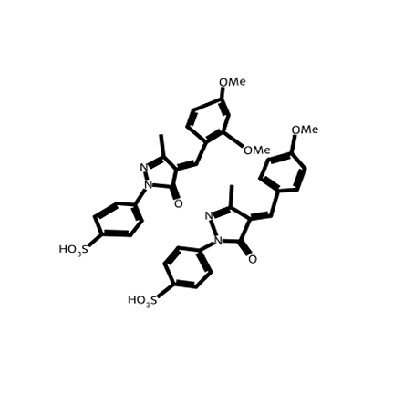 COc1ccc(C=C2C(=O)N(c3ccc(S(=O)(=O)O)cc3)N=C2C)c(OC)c1.COc1ccc(C=C2C(=O)N(c3ccc(S(=O)(=O)O)cc3)N=C2C)cc1